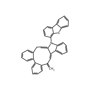 C=C1/C=c2\c(n(-c3cccc4c3sc3ccccc34)c3ccccc23)=C/Cc2ccccc2-c2ccccc21